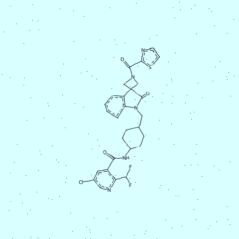 O=C(NC1CCC(CN2C(=O)C3(CN(C(=O)c4nccs4)C3)c3ccccc32)CC1)c1cc(Cl)cnc1C(F)F